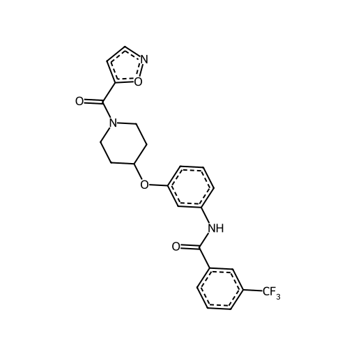 O=C(Nc1cccc(OC2CCN(C(=O)c3ccno3)CC2)c1)c1cccc(C(F)(F)F)c1